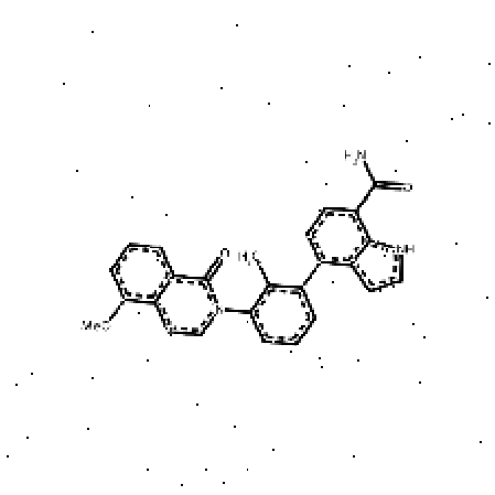 COc1cccc2c(=O)n(-c3cccc(-c4ccc(C(N)=O)c5[nH]ccc45)c3C)cnc12